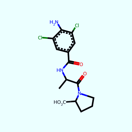 CC(NC(=O)c1cc(Cl)c(N)c(Cl)c1)C(=O)N1CCCC1C(=O)O